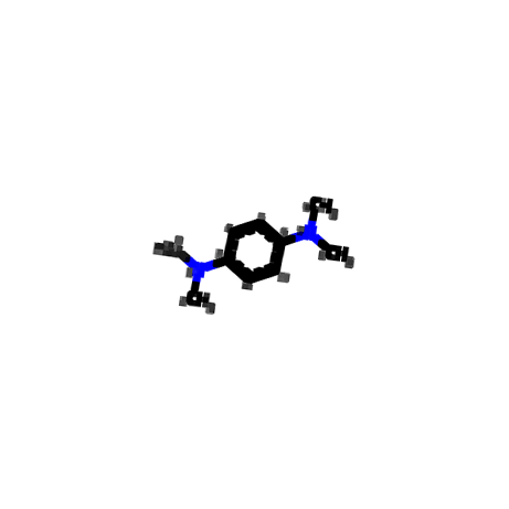 CCCCN(C)c1ccc(N(C)C)cc1